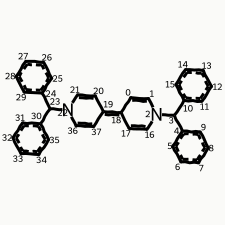 C1=CN(C(c2ccccc2)c2ccccc2)C=CC1=C1C=CN(C(c2ccccc2)c2ccccc2)C=C1